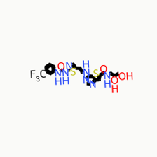 O=C(Nc1cccc(C(F)(F)F)c1)Nc1ncc(CCNc2ncnc3cc(C(=O)NCC(O)CO)sc23)s1